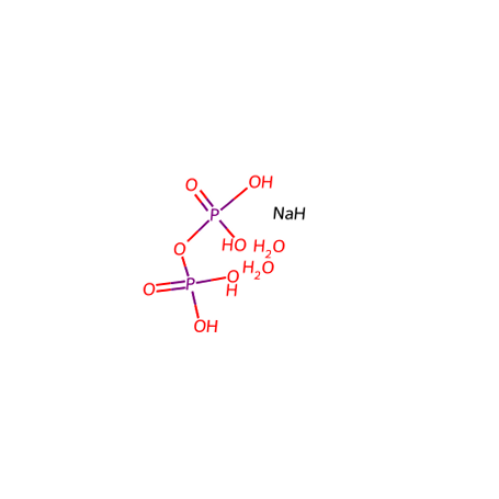 O.O.O=P(O)(O)OP(=O)(O)O.[NaH]